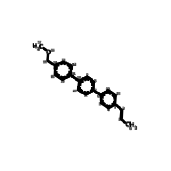 CC=Cc1ccc(-c2ccc(-c3ccc(COC)cc3)cc2)cc1